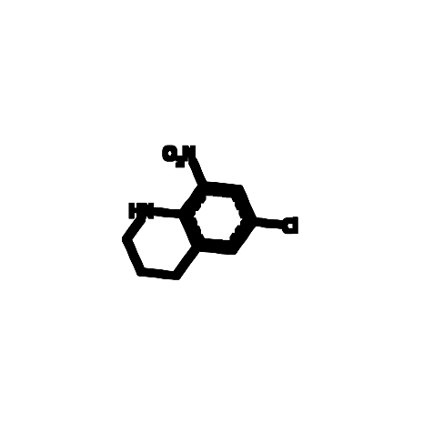 O=[N+]([O-])c1cc(Cl)cc2c1NCCC2